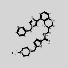 CN1CCN(Cc2ccc(C(=O)NCC3COc4cccc(-c5cn(Cc6ccccc6)cn5)c4O3)o2)CC1